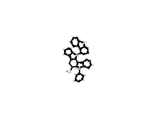 CC1Cc2c(n(-c3cccc4sc5ccccc5c34)c3ccccc23)-c2c1n(-c1ccccc1)c1ccccc21